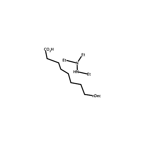 CCCCCCCCCCCCCCCCCC(=O)O.CCNN(CC)CC